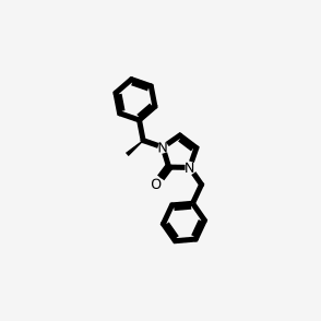 C[C@@H](c1ccccc1)n1ccn(Cc2ccccc2)c1=O